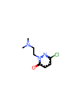 CN(C)CCn1nc(Cl)ccc1=O